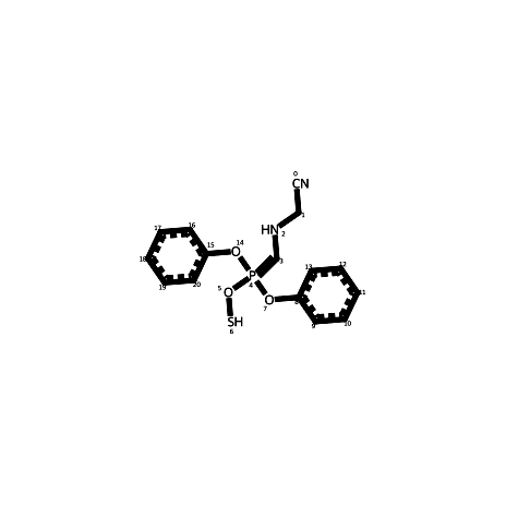 N#CCNC=P(OS)(Oc1ccccc1)Oc1ccccc1